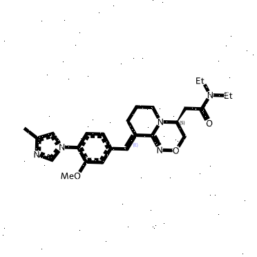 CCN(CC)C(=O)C[C@H]1CON=C2/C(=C/c3ccc(-n4cnc(C)c4)c(OC)c3)CCCN21